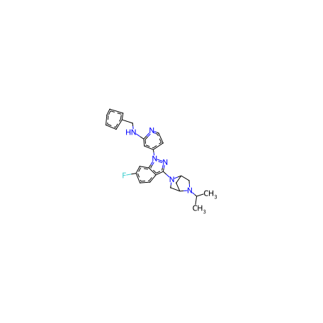 CC(C)N1CC2CC1CN2c1nn(-c2ccnc(NCc3ccccc3)c2)c2cc(F)ccc12